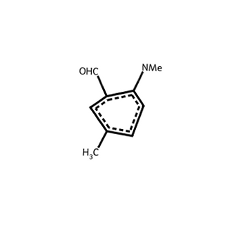 CNc1ccc(C)cc1C=O